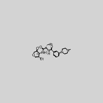 CC[C@@H]1COCC(=O)[C@H]1NC(=O)[C@H](CC(C)C)NC(=O)c1cccc(N2CCN(C)CC2)c1